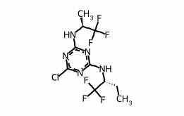 CC[C@@H](Nc1nc(Cl)nc(N[C@@H](C)C(F)(F)F)n1)C(F)(F)F